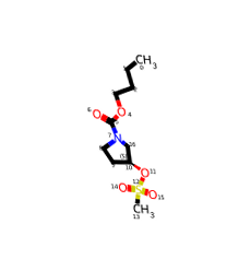 CCCCOC(=O)N1CC[C@H](OS(C)(=O)=O)C1